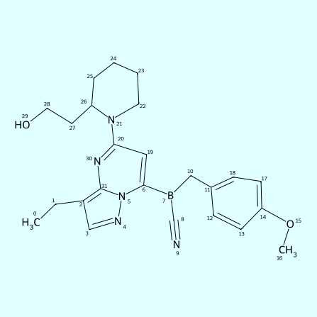 CCc1cnn2c(B(C#N)Cc3ccc(OC)cc3)cc(N3CCCCC3CCO)nc12